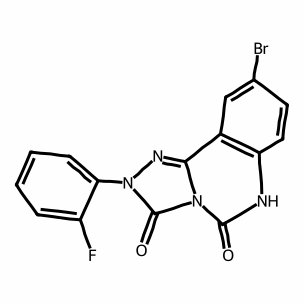 O=c1[nH]c2ccc(Br)cc2c2nn(-c3ccccc3F)c(=O)n12